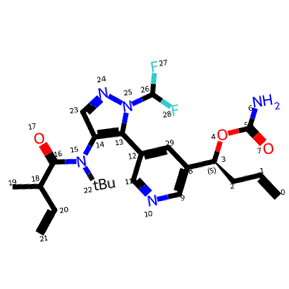 C=CC[C@H](OC(N)=O)c1cncc(-c2c(N(C(=O)C(C)C=C)C(C)(C)C)cnn2C(F)F)c1